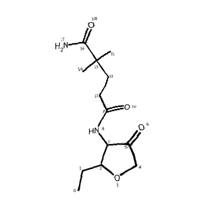 CCC1OCC(=O)C1NC(=O)[CH]CC(C)(C)C(N)=O